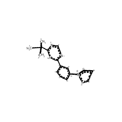 CC(C)(C)c1ncnc(-c2cccc(-n3cccn3)c2)n1